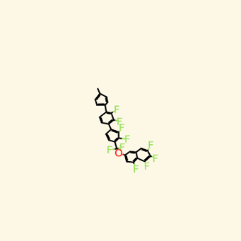 Cc1ccc(-c2ccc(-c3ccc(C(F)(F)Oc4cc(F)c5c(F)c(F)c(F)cc5c4)c(F)c3F)c(F)c2F)cc1